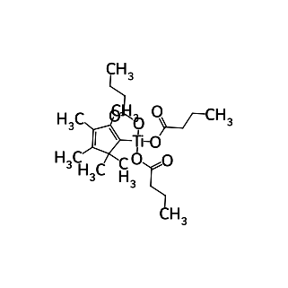 CCCC(=O)[O][Ti]([O]C(=O)CCC)([O]C(=O)CCC)[C]1=C(C)C(C)=C(C)C1(C)C